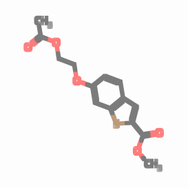 COC(=O)c1cc2ccc(OCCOC(C)=O)cc2s1